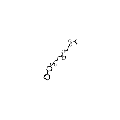 C=C(C)C(=O)OCCOC(=O)CCCC(=O)Oc1ccc(-c2ccccc2)cc1